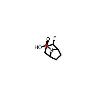 O=C(O)N1C2CCC(F)C1CC2